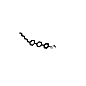 C/C=C/CCCCC1=CCC(C2CCC(c3ccc(CCC)cc3)CC2)CC1